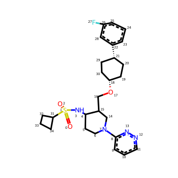 O=S(=O)(NC1CCN(c2cccnn2)CC1CO[C@H]1CC[C@@H](c2cccc(F)c2)CC1)C1CCC1